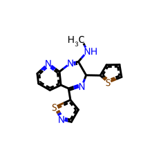 CNC1=Nc2ncccc2C(c2ccns2)=NC1c1cccs1